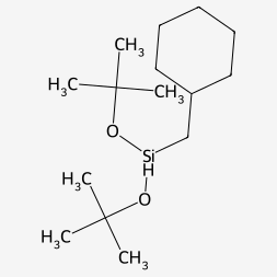 CC(C)(C)O[SiH](CC1CCCCC1)OC(C)(C)C